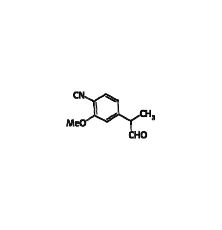 [C-]#[N+]c1ccc(C(C)C=O)cc1OC